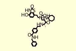 C[C@H](NCCc1ccc(C(=O)NCc2ccccc2)cc1)C(=O)C(CN(CCc1ccc(O)c2[nH]c(=O)sc12)C(=O)O)NC1CCCCCC1